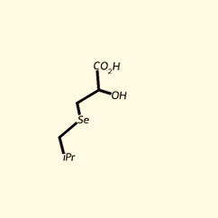 CC(C)C[Se]CC(O)C(=O)O